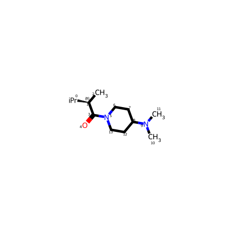 CC(C)[C@@H](C)C(=O)N1CCC(N(C)C)CC1